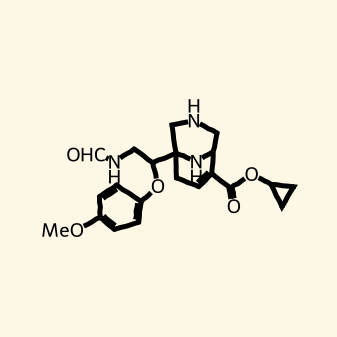 COc1ccc(OC(CNC=O)C23CC=C(C(=O)OC4CC4)C(CNC2)N3)cc1